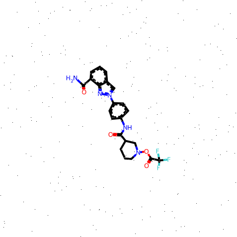 NC(=O)c1cccc2cn(-c3ccc(NC(=O)C4CCCN(OC(=O)C(F)(F)F)C4)cc3)nc12